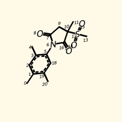 Cc1cc(C)c(N2C(=O)CC(C)(S(C)(=O)=O)C2=O)cc1C